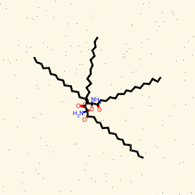 CCCCCCCCCCCCCCCC(=O)C(N)(OC(N)(C(=O)CCCCCCCCCCCCCCC)C(=O)CCCCCCCCCCCCCCC)C(=O)CCCCCCCCCCCCCCC